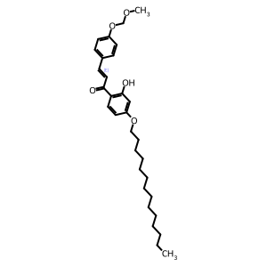 CCCCCCCCCCCCCCOc1ccc(C(=O)/C=C/c2ccc(OCOC)cc2)c(O)c1